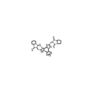 S=C1C(=Cc2nc3c4nsnc4c4nc(C=C5C(=S)c6ccccc6C5=S)sc4c3s2)C(=S)c2ccccc21